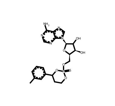 Cc1cccc(C2CCOP(=S)(OC[C@H]3O[C@@H](n4cnc5c(N)ncnc54)C(O)[C@H]3O)O2)c1